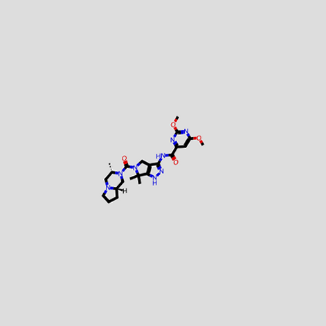 COc1cc(C(=O)Nc2n[nH]c3c2CN(C(=O)N2C[C@@H]4CCCN4C[C@@H]2C)C3(C)C)nc(OC)n1